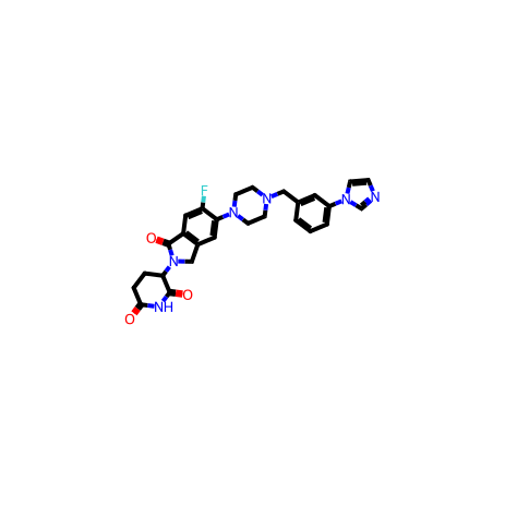 O=C1CCC(N2Cc3cc(N4CCN(Cc5cccc(-n6ccnc6)c5)CC4)c(F)cc3C2=O)C(=O)N1